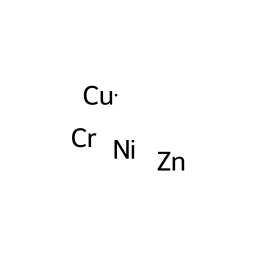 [Cr].[Cu].[Ni].[Zn]